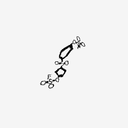 O=S(=O)(F)Oc1ccc(S(=O)(=O)c2ccc(OS(=O)(=O)F)cc2)cc1